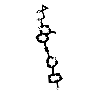 Cc1cc(NCC2(O)CC2)nc2ccc(C#Cc3ccc(-c4ccc(Cl)cc4)cn3)cc12